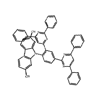 N#Cc1ccc2c3ccc(C#N)cc3n(-c3ccc(-c4nc(-c5ccccc5)cc(-c5ccccc5)n4)cc3-c3cc(-c4ccccc4)nc(-c4ccccc4)n3)c2c1